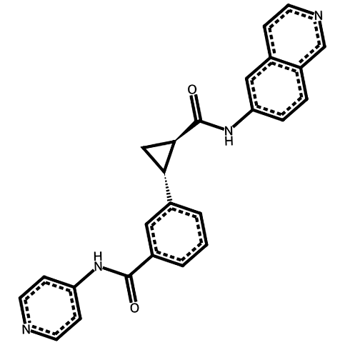 O=C(Nc1ccncc1)c1cccc([C@@H]2C[C@H]2C(=O)Nc2ccc3cnccc3c2)c1